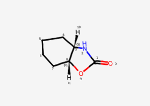 O=C1N[C@H]2CCCC[C@H]2O1